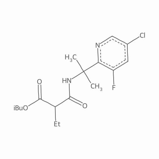 CCC(C(=O)NC(C)(C)c1ncc(Cl)cc1F)C(=O)OCC(C)C